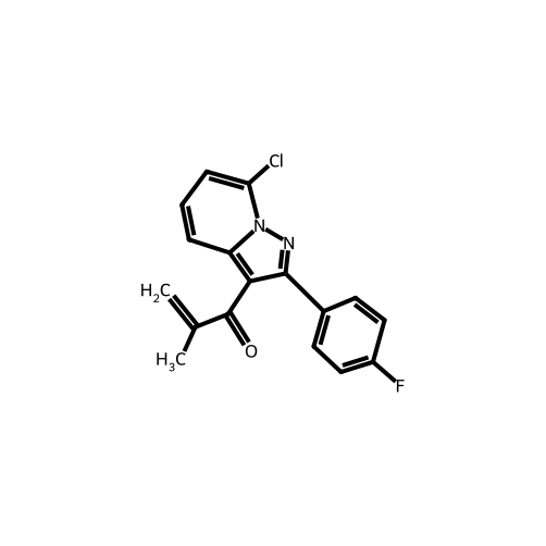 C=C(C)C(=O)c1c(-c2ccc(F)cc2)nn2c(Cl)cccc12